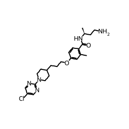 Cc1cc(OCCCC2CCN(c3ncc(Cl)cn3)CC2)ccc1C(=O)N[C@@H](C)CCN